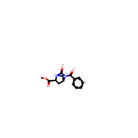 COC(=O)C1CC2CN1C(=O)N2C(=O)c1ccccc1